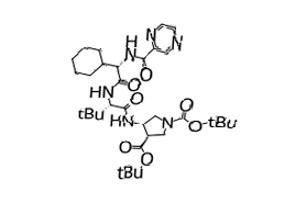 CC(C)(C)OC(=O)[C@@H]1CN(C(=O)OC(C)(C)C)CC1NC(=O)[C@@H](NC(=O)[C@@H](NC(=O)c1cnccn1)C1CCCCC1)C(C)(C)C